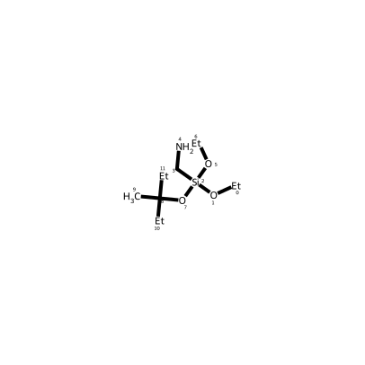 CCO[Si](CN)(OCC)OC(C)(CC)CC